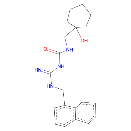 N=C(NCc1cccc2ccccc12)NC(=O)NCC1(O)CCCCC1